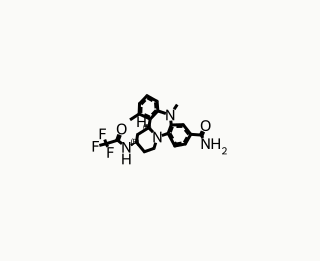 Cc1cccc2c1[C@H]1C[C@H](NC(=O)C(F)(F)F)CCN1c1ccc(C(N)=O)cc1N2C